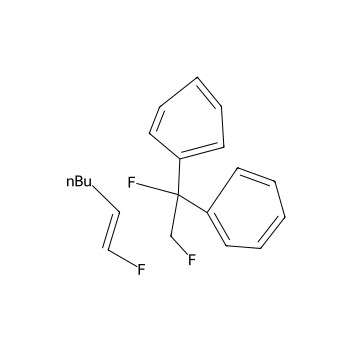 CCCCC=CF.FCC(F)(c1ccccc1)c1ccccc1